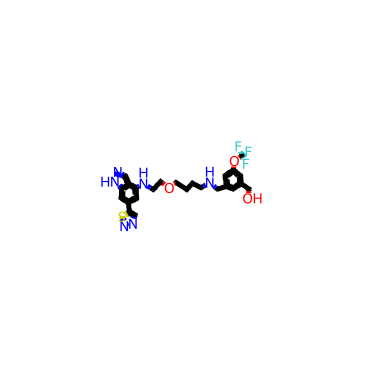 OCc1cc(CNCCCCOCCNc2cc(-c3cnns3)cc3[nH]ncc23)cc(OC(F)(F)F)c1